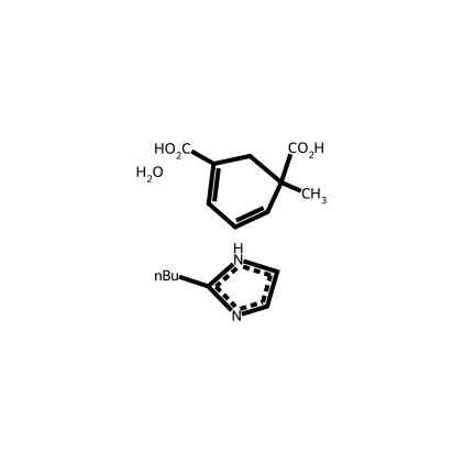 CC1(C(=O)O)C=CC=C(C(=O)O)C1.CCCCc1ncc[nH]1.O